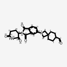 O=CC1CCC2(CC1)CN(c1ccc3c(c1)C(=O)N(C1CCC(=O)NC1=O)C3=O)C2